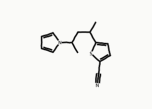 CC(CC(C)n1cccc1)c1ccc(C#N)s1